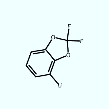 [Li][c]1cccc2c1OC(F)(F)O2